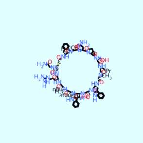 CCCC[C@H]1C(=O)N(C)[C@@H](CCCC)C(=O)N[C@@H](CCCNC(=N)N)C(=O)N[C@H](C(=O)NCC(N)=O)CSCC(=O)N[C@@H](Cc2ccccc2)C(=O)N(C)[C@@H](C)C(=O)NC(CC(N)=O)C(=O)N2CCC[C@H]2C(=O)N[C@@H](CO)C(=O)N[C@@H](CC(C)C)C(=O)N(C)CC(=O)N[C@@H](Cc2c[nH]c3ccccc23)C(=O)N[C@@H](CO)C(=O)N[C@@H](Cc2c[nH]c3ccccc23)C(=O)N1C